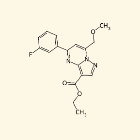 CCOC(=O)c1cnn2c(COC)cc(-c3cccc(F)c3)nc12